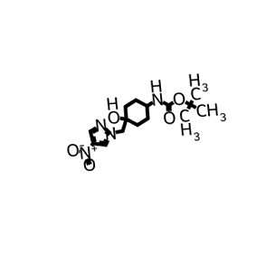 CC(C)(C)OC(=O)NC1CCC(O)(Cn2cc([N+](=O)[O-])cn2)CC1